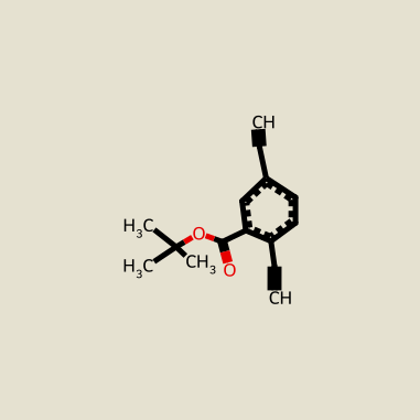 C#Cc1ccc(C#C)c(C(=O)OC(C)(C)C)c1